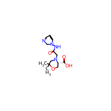 CC1(C)CN(CC(=O)NN2C=CC=NC2)[C@H](C(=O)O)CO1